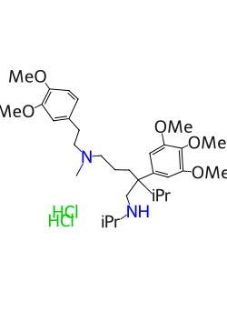 COc1ccc(CCN(C)CCCC(CNC(C)C)(c2cc(OC)c(OC)c(OC)c2)C(C)C)cc1OC.Cl.Cl